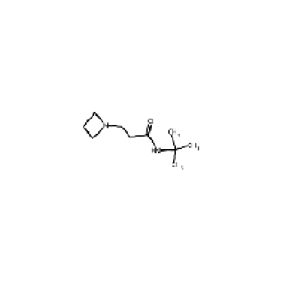 CC(C)(C)NC(=O)CCN1CCC1